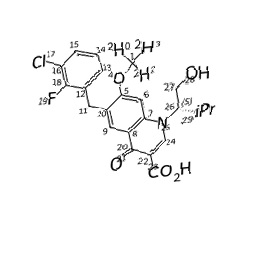 [2H]C([2H])([2H])Oc1cc2c(cc1Cc1cccc(Cl)c1F)c(=O)c(C(=O)O)cn2[C@H](CO)C(C)C